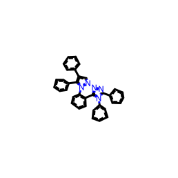 c1ccc(-c2cnn(-c3ccccc3-c3nnc(-c4ccccc4)n3-c3ccccc3)c2-c2ccccc2)cc1